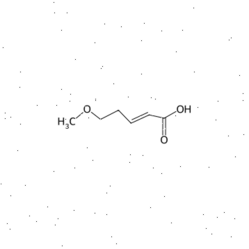 COCCC=CC(=O)O